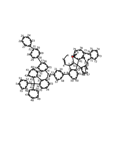 C=CC1=C(/C=C\C)c2c(-c3ccc(N(c4ccc(-c5ccc(-c6ccccc6)cc5)cc4)c4cccc5c4-c4ccccc4C5(c4ccccc4)c4ccccc4)cc3)cccc2C12c1ccccc1-n1c3ccccc3c3cccc2c31